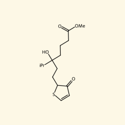 COC(=O)CCCC(O)(CCC1SC=CC1=O)C(C)C